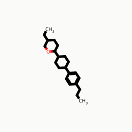 CCCc1ccc(C2CCC(C3CCC(CC)CO3)CC2)cc1